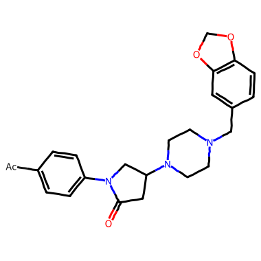 CC(=O)c1ccc(N2CC(N3CCN(Cc4ccc5c(c4)OCO5)CC3)CC2=O)cc1